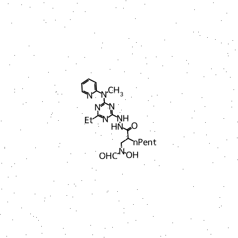 CCCCCC(CN(O)C=O)C(=O)NNc1nc(CC)nc(N(C)c2ccccn2)n1